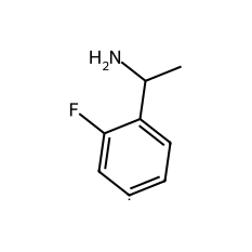 CC(N)c1cc[c]cc1F